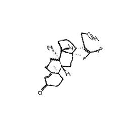 C[C@]12CC[C@H]3[C@@H](CCC4=CC(=O)CC[C@@]43C)[C@@H]1CC[C@@H]2C(CO)=C(F)F